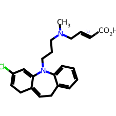 CN(C/C=C/C(=O)O)CCCN1C2=CC(Cl)=CCC2=CCc2ccccc21